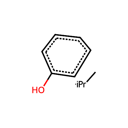 C[C](C)C.Oc1ccccc1